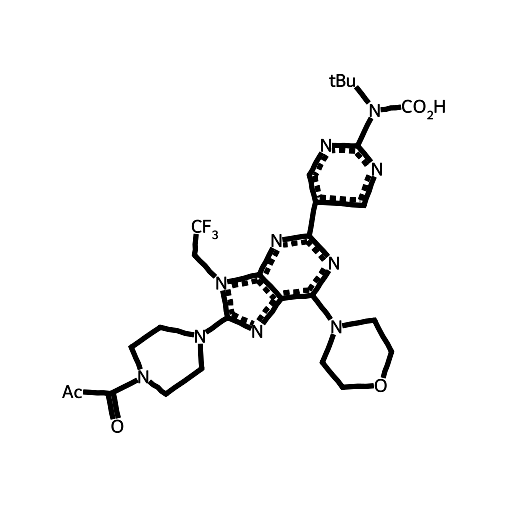 CC(=O)C(=O)N1CCN(c2nc3c(N4CCOCC4)nc(-c4cnc(N(C(=O)O)C(C)(C)C)nc4)nc3n2CC(F)(F)F)CC1